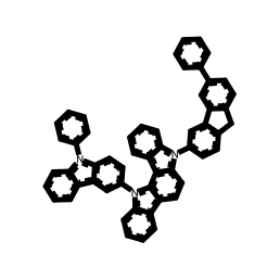 c1ccc(-c2ccc3c(c2)-c2cc(-n4c5ccccc5c5c4ccc4c6ccccc6n(-c6ccc7c(c6)c6ccccc6n7-c6ccccc6)c45)ccc2C3)cc1